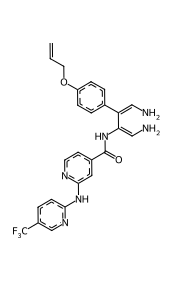 C=CCOc1ccc(C(=C/N)/C(=C\N)NC(=O)c2ccnc(Nc3ccc(C(F)(F)F)cn3)c2)cc1